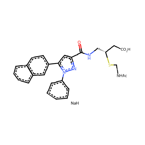 CC(=O)NCS[C@H](CNC(=O)c1cc(-c2ccc3ccccc3c2)n(-c2ccccc2)n1)CC(=O)O.[NaH]